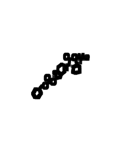 COC(=O)[C@H](c1ccccc1Cl)N1CCc2sc(OC(=O)OCc3ccccc3)cc2C1